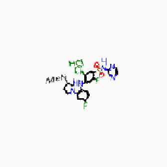 CNC1CCN(c2cc(F)ccc2Nc2cc(F)c(S(=O)(=O)Nc3cnccn3)cc2Cl)C1.Cl